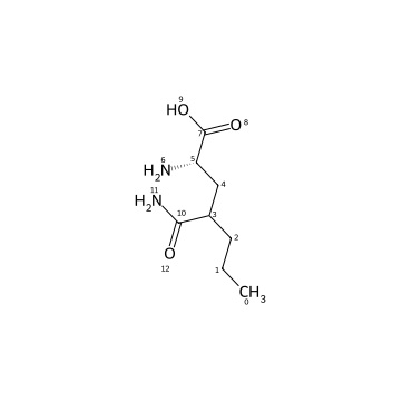 CCCC(C[C@H](N)C(=O)O)C(N)=O